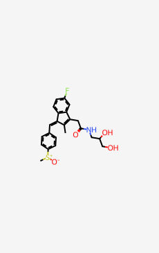 CC1=C(CC(=O)NCC(O)CO)c2cc(F)ccc2C1=Cc1ccc([S+](C)[O-])cc1